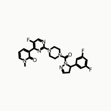 Cn1cccc(-c2nc(N3CCN(C(=O)N4N=CCC4c4cc(F)cc(F)c4)CC3)ncc2F)c1=O